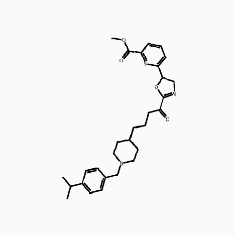 COC(=O)c1cccc(C2CN=C(C(=O)CCCC3CCN(Cc4ccc(C(C)C)cc4)CC3)O2)n1